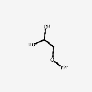 CCCOCC(O)O